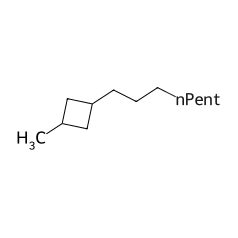 CCCCCCCCC1CC(C)C1